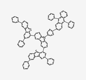 c1ccc(-c2ccc3sc4c(-c5ccc6c(c5)c5cc(-c7cc(-c8ccccc8)cc8c7sc7ccc(-c9ccccc9)cc78)ccc5n6-c5ccc(-c6ccc7c(-c8ccccc8)c8ccccc8c(-c8ccccc8)c7c6)cc5)cc(-c5ccccc5)cc4c3c2)cc1